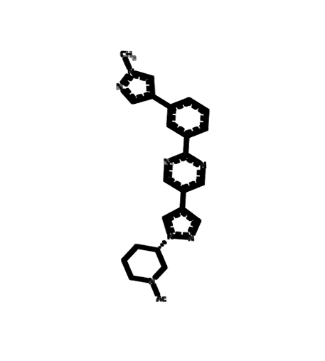 CC(=O)N1CCC[C@H](n2cc(-c3cnc(-c4cccc(-c5cnn(C)c5)c4)nc3)cn2)C1